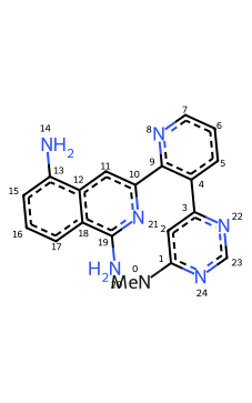 CNc1cc(-c2cccnc2-c2cc3c(N)cccc3c(N)n2)ncn1